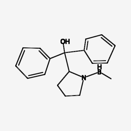 CBN1CCCC1C(O)(c1ccccc1)c1ccccc1